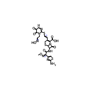 CO/N=C(\C(=O)NC1C(=O)N2C(C(=O)O)=C(/C=C/Sc3n[nH]c(=O)c(=O)n3C/C=N/O)CSC12)c1csc(N)n1